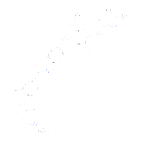 CCCCN1CCC(Oc2ccc(C(=O)Nc3ccc(Oc4cc(F)c(NC(=O)NC(CC)CC)cc4OCC)cc3)cc2C)CC1